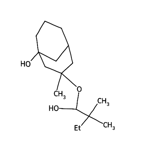 CCC(C)(C)C(O)OC1(C)CC2CCCC(O)(C2)C1